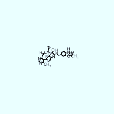 Cc1ncnc(C2CC2)c1-c1ncc2nc(NCc3ccc(NS(C)(=O)=O)cc3)c(=O)n([C@@H](C)C3CC3)c2n1